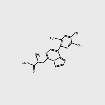 COC(=O)[C@@H](N)Cc1ccc(-c2nc(C)c(C#N)cc2C(F)(F)F)c2nccn12